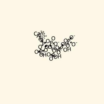 O=P(O)(O)O.O=P(O)(O)O.O=P([O-])([O-])OP(=O)([O-])OP(=O)([O-])[O-].O=P([O-])([O-])[O-].[Al+3].[Al+3].[Ca+2]